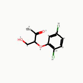 CC(C)(C)C(=O)C(CO)Oc1cc(Cl)ccc1Cl